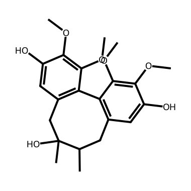 COc1c(O)cc2c(c1OC)-c1c(cc(O)c(OC)c1OC)CC(C)(O)C(C)C2